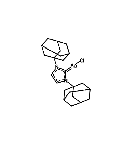 [Cl][Au]=[c]1n(C23CC4CC(CC(C4)C2)C3)ccn1C12CC3CC(CC(C3)C1)C2